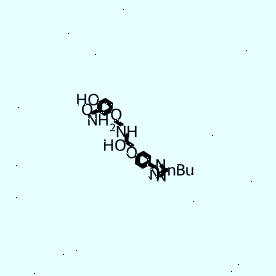 CCCCc1nc(-c2ccc(OCC(O)CNCCOc3ccc(O)c(C(N)=O)c3)cc2)n(C)n1